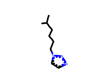 CC(C)CCCCn1ccnn1